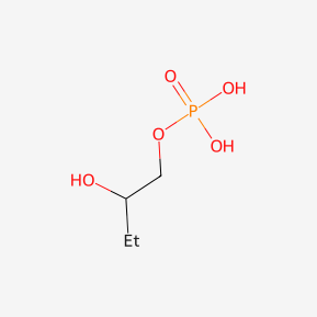 CCC(O)COP(=O)(O)O